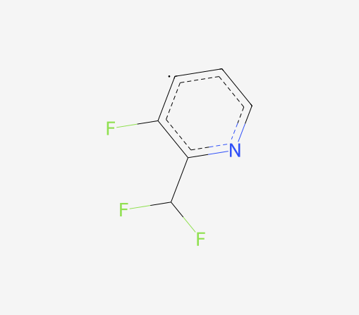 Fc1[c]ccnc1C(F)F